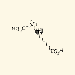 CC(CCCCCCCCCCCCC(=O)O)CCC(=O)O.Cl.Cl